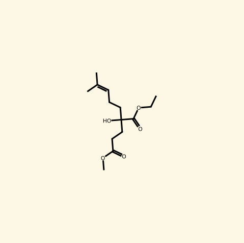 CCOC(=O)C(O)(CCC=C(C)C)CCC(=O)OC